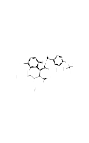 CC[C@@H](C)C(C(=O)O)c1c(C)n(C(=O)c2ccc(OC(F)(F)F)cc2)c2ccc(O)c(F)c12